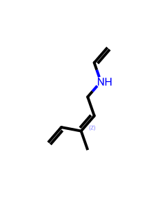 C=CNC/C=C(/C)C=C